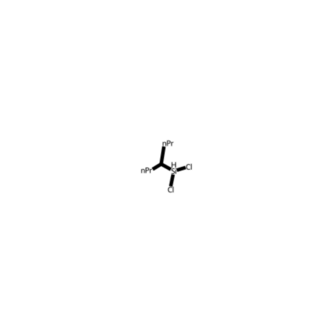 CCCC(CCC)[SiH](Cl)Cl